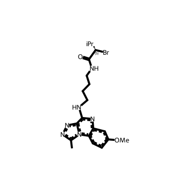 COc1ccc2c(c1)nc(NCCCCNC(=O)[C@@H](Br)C(C)C)c1nnc(C)n12